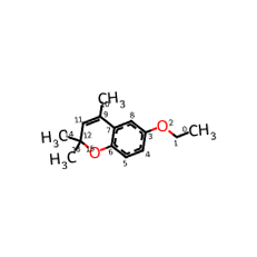 CCOc1ccc2c(c1)C(C)=CC(C)(C)O2